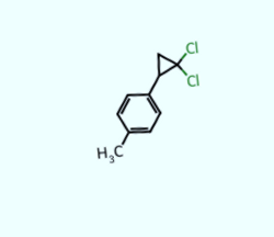 Cc1ccc(C2CC2(Cl)Cl)cc1